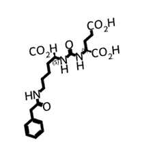 O=C(O)CC[C@H](NC(=O)N[C@@H](CCCCNC(=O)Cc1ccccc1)C(=O)O)C(=O)O